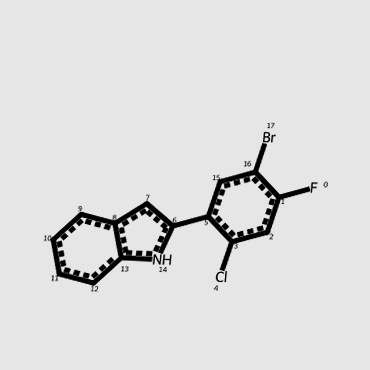 Fc1cc(Cl)c(-c2cc3ccccc3[nH]2)cc1Br